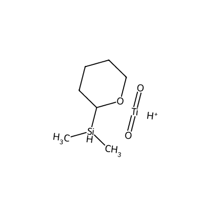 C[SiH](C)C1CCCCO1.[H+].[O]=[Ti]=[O]